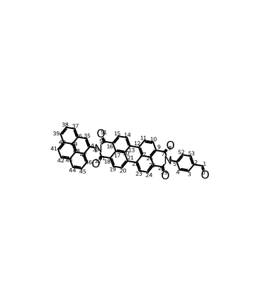 O=Cc1ccc(N2C(=O)c3ccc4c5ccc6c7c(ccc(c8ccc(c3c48)C2=O)c75)C(=O)N(c2cc3cccc4ccc5cccc2c5c43)C6=O)cc1